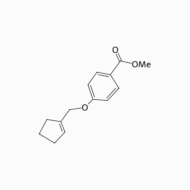 COC(=O)c1ccc(OCC2=CCCC2)cc1